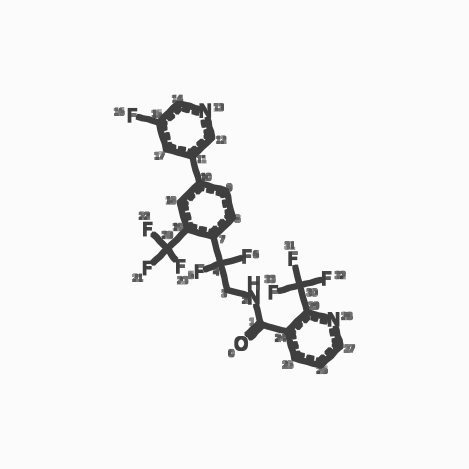 O=C(NCC(F)(F)c1ccc(-c2cncc(F)c2)cc1C(F)(F)F)c1cccnc1C(F)(F)F